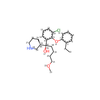 CCc1ccccc1Oc1c(Cl)cccc1[C@](O)(CCCCOC)[C@@H]1CCCNC1